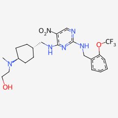 CN(CCO)[C@H]1CC[C@H](CNc2nc(NCc3ccccc3OC(F)(F)F)ncc2[N+](=O)[O-])CC1